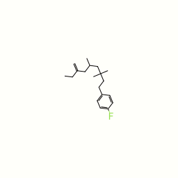 C=C(CC)CC(C)CC(C)(C)CCc1ccc(F)cc1